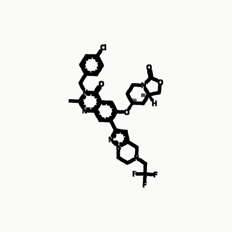 Cc1nc2cc(-c3cc4n(n3)CCN(CC(F)(F)F)C4)c(O[C@H]3CCN4C(=O)OC[C@@H]4C3)cc2c(=O)n1Cc1ccc(Cl)cc1